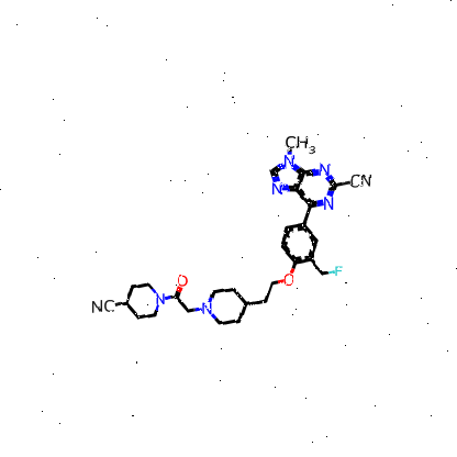 Cn1cnc2c(-c3ccc(OCCC4CCN(CC(=O)N5CCC(C#N)CC5)CC4)c(CF)c3)nc(C#N)nc21